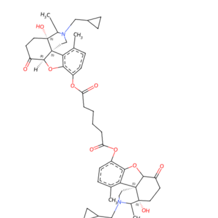 Cc1ccc(OC(=O)CCCCC(=O)Oc2ccc(C)c3c2O[C@H]2C(=O)CC[C@@]4(O)C(C)N(CC5CC5)CC[C@]324)c2c1[C@]13CCN(CC4CC4)C(C)[C@]1(O)CCC(=O)C3O2